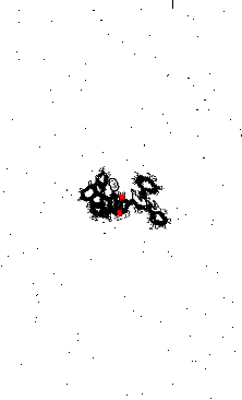 C1=CC2=C(CC1)c1cccc(-c3ccc(-c4cc(-c5ccccc5)nc(-c5ccccc5)n4)cc3)c1C21c2ccccc2Oc2ccccc21